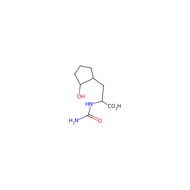 NC(=O)NC(CC1CCCC1O)C(=O)O